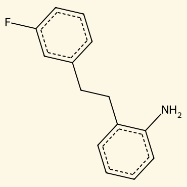 Nc1ccccc1CCc1cccc(F)c1